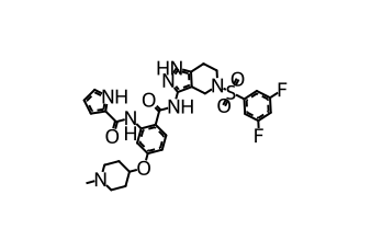 CN1CCC(Oc2ccc(C(=O)Nc3n[nH]c4c3CN(S(=O)(=O)c3cc(F)cc(F)c3)CC4)c(NC(=O)c3ccc[nH]3)c2)CC1